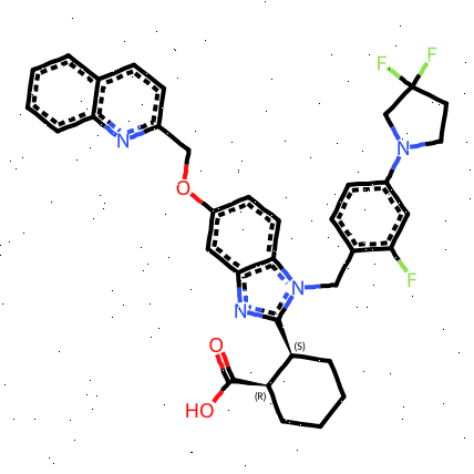 O=C(O)[C@@H]1CCCC[C@@H]1c1nc2cc(OCc3ccc4ccccc4n3)ccc2n1Cc1ccc(N2CCC(F)(F)C2)cc1F